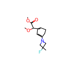 COC(=O)C(OC)C1=CCCC(N2CC(C)(F)C2)=C1